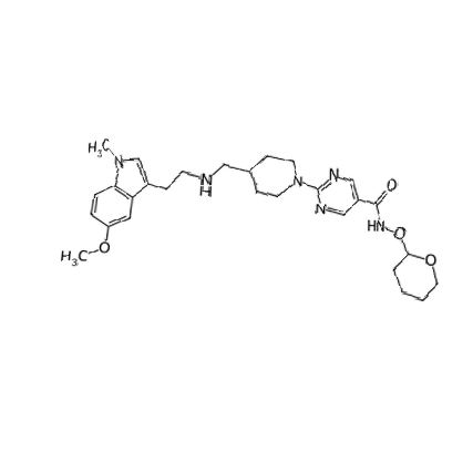 COc1ccc2c(c1)c(CCNCC1CCN(c3ncc(C(=O)NOC4CCCCO4)cn3)CC1)cn2C